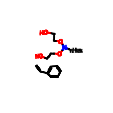 C=Cc1ccccc1.CCCCCCN(OCCO)OCCO